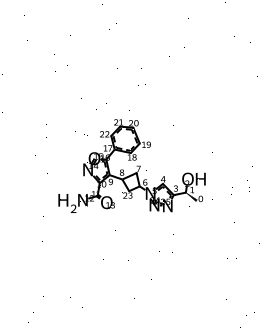 C[C@H](O)c1cn(C2CC(c3c(C(N)=O)noc3-c3ccccc3)C2)nn1